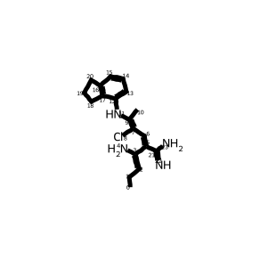 CC/C=C(N)/C(=C\C(Cl)=C(/C)Nc1cccc2c1CCC2)C(=N)N